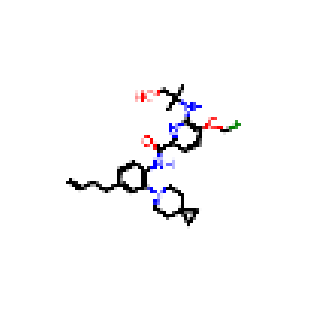 C=CCCc1ccc(NC(=O)c2ccc(OCF)c(NC(C)(C)CO)n2)c(N2CCC3(CC2)CC3)c1